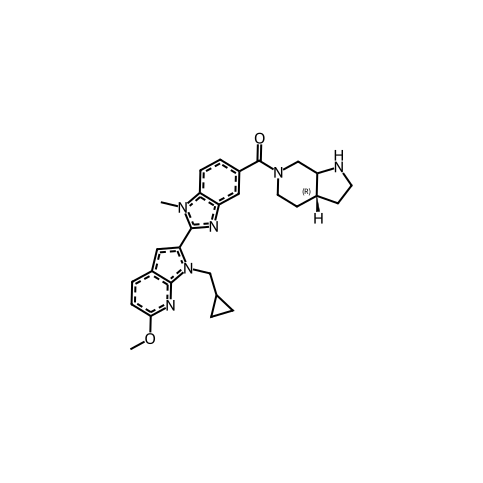 COc1ccc2cc(-c3nc4cc(C(=O)N5CC[C@H]6CCNC6C5)ccc4n3C)n(CC3CC3)c2n1